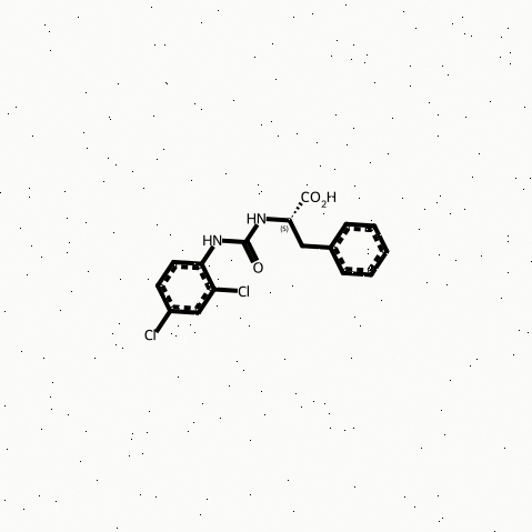 O=C(Nc1ccc(Cl)cc1Cl)N[C@@H](Cc1ccccc1)C(=O)O